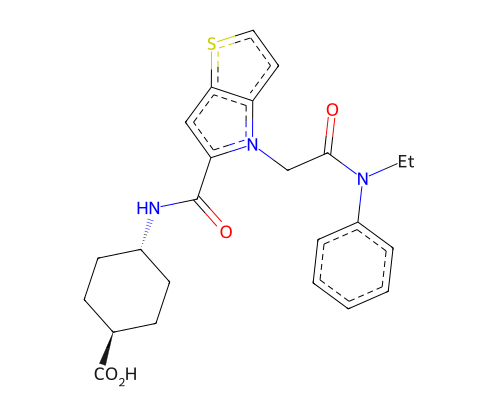 CCN(C(=O)Cn1c(C(=O)N[C@H]2CC[C@H](C(=O)O)CC2)cc2sccc21)c1ccccc1